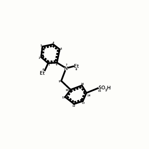 CCc1ccccc1N(CC)Cc1cccc(S(=O)(=O)O)c1